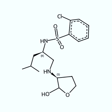 CC(C)C[C@H](CN[C@H]1CCOC1O)NS(=O)(=O)c1ccccc1Cl